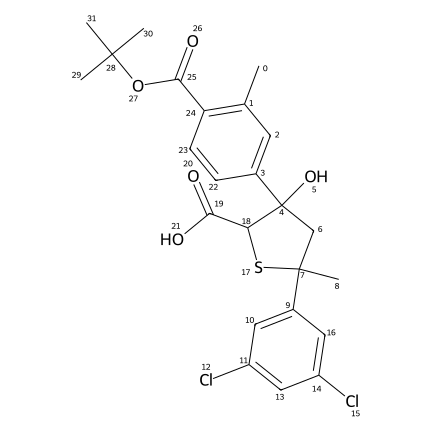 Cc1cc(C2(O)CC(C)(c3cc(Cl)cc(Cl)c3)SC2C(=O)O)ccc1C(=O)OC(C)(C)C